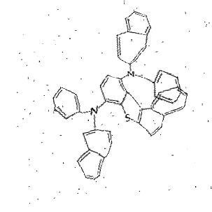 c1ccc(N(c2ccc3ccccc3c2)c2ccc(N(c3ccccc3)c3ccc4ccccc4c3)c3c2sc2ccc4ccccc4c23)cc1